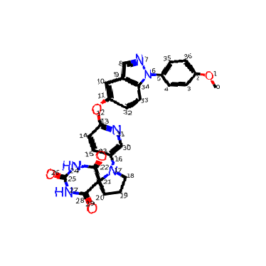 COc1ccc(-n2ncc3cc(Oc4ccc(N5CCCC56C(=O)NC(=O)NC6=O)cn4)ccc32)cc1